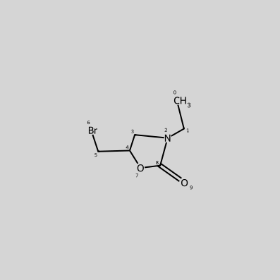 CCN1CC(CBr)OC1=O